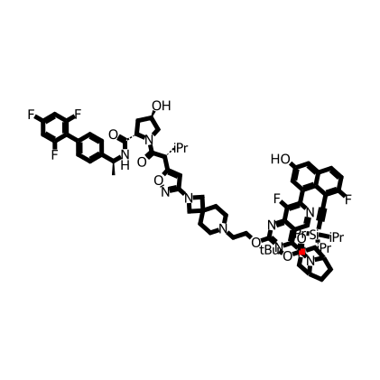 CC(C)[C@@H](C(=O)N1C[C@H](O)C[C@H]1C(=O)N[C@@H](C)c1ccc(-c2c(F)cc(F)cc2F)cc1)c1cc(N2CC3(CCN(CCOc4nc(N5CC6CCC(C5)N6C(=O)OC(C)(C)C)c5cnc(-c6cc(O)cc7ccc(F)c(C#C[Si](C(C)C)(C(C)C)C(C)C)c67)c(F)c5n4)CC3)C2)no1